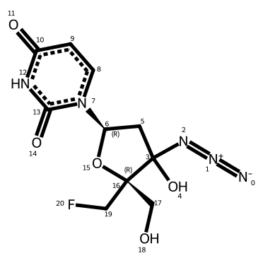 [N-]=[N+]=NC1(O)C[C@H](n2ccc(=O)[nH]c2=O)O[C@@]1(CO)CF